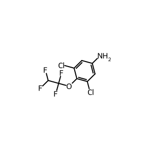 Nc1cc(Cl)c(OC(F)(F)C(F)F)c(Cl)c1